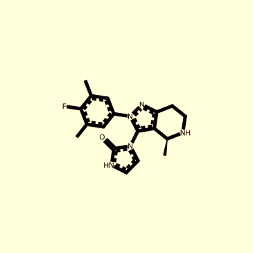 Cc1cc(-n2nc3c(c2-n2cc[nH]c2=O)[C@H](C)NCC3)cc(C)c1F